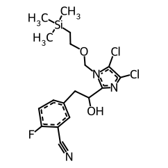 C[Si](C)(C)CCOCn1c(C(O)Cc2ccc(F)c(C#N)c2)nc(Cl)c1Cl